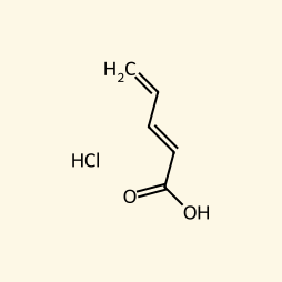 C=CC=CC(=O)O.Cl